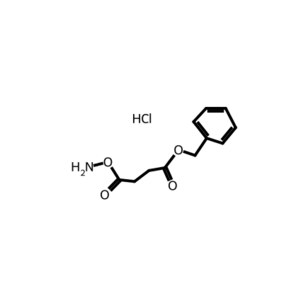 Cl.NOC(=O)CCC(=O)OCc1ccccc1